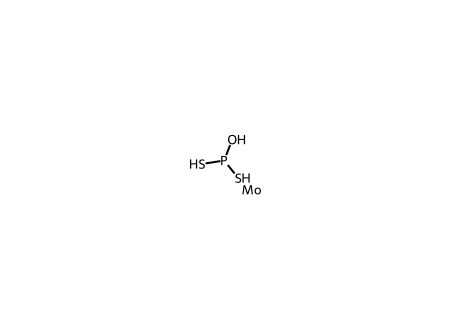 OP(S)S.[Mo]